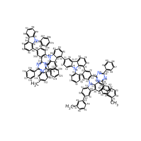 Cc1ccc(-c2ccc3c4c(-c5ccc6c(c5)c5cccc(-c7ccc(-n8c9ccc(-c%10cccc(C)c%10)cc9c9cc(-c%10cccc(C)c%10)ccc98)c(-c8nc(-c9ccccc9)nc(-c9ccccc9)n8)c7)c5n6-c5ccccc5)cccc4n(-c4ccc(-c5cccc6c7ccccc7n(-c7ccccc7)c56)cc4-c4nc(-c5ccccc5)nc(-c5ccccc5)n4)c3c2)cc1